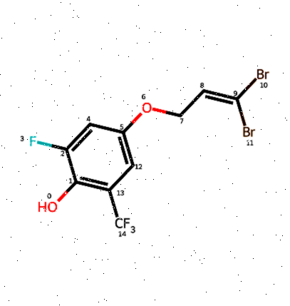 Oc1c(F)cc(OCC=C(Br)Br)cc1C(F)(F)F